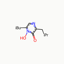 CCC(C)c1cnc(CC(C)C)c(=O)n1O